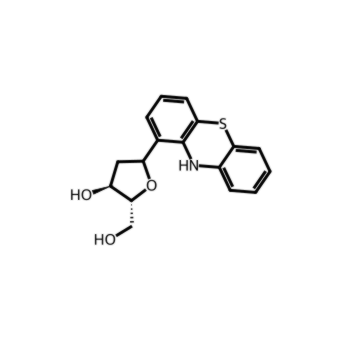 OC[C@H]1OC(c2cccc3c2Nc2ccccc2S3)C[C@@H]1O